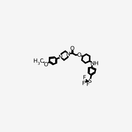 COc1ccc(N2CCN(C(=O)COC3CCC(Nc4ccc(SC(F)(F)F)cc4)CC3)CC2)cc1